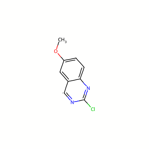 COc1ccc2nc(Cl)n[c]c2c1